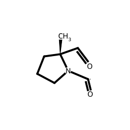 C[C@]1(C=O)CCCN1[C]=O